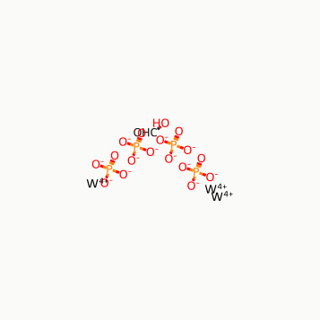 O=CO.O=P([O-])([O-])[O-].O=P([O-])([O-])[O-].O=P([O-])([O-])[O-].O=P([O-])([O-])[O-].[W+4].[W+4].[W+4]